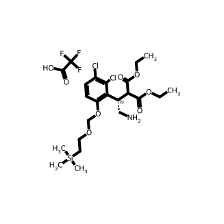 CCOC(=O)C(C(=O)OCC)[C@H](CN)c1c(OCOCC[Si](C)(C)C)ccc(Cl)c1Cl.O=C(O)C(F)(F)F